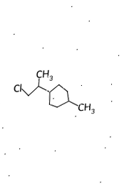 CC1CCC(C(C)CCl)CC1